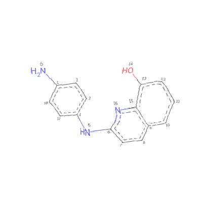 Nc1ccc(Nc2ccc3cccc(O)c3n2)cc1